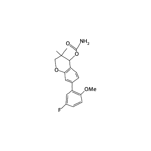 COc1ccc(F)cc1-c1ccc2c(c1)OCC(C)(C)C2OC(N)=O